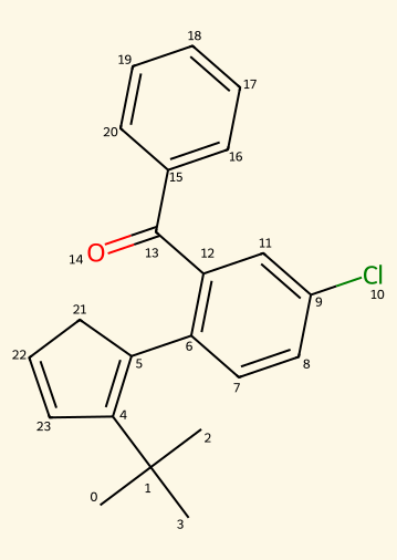 CC(C)(C)C1=C(c2ccc(Cl)cc2C(=O)c2ccccc2)CC=C1